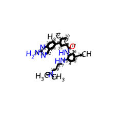 C#Cc1ccc(NCCCCN(C)C)c(NC(=O)c2ccc(C)c(-c3ccc4nc(N)ncc4c3)c2)c1